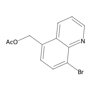 CC(=O)OCc1ccc(Br)c2ncccc12